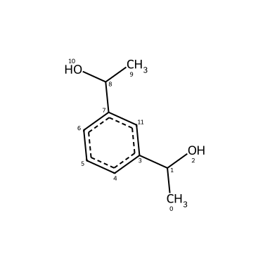 CC(O)c1cccc(C(C)O)c1